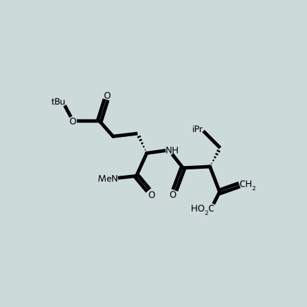 C=C(C(=O)O)[C@@H](CC(C)C)C(=O)N[C@@H](CCC(=O)OC(C)(C)C)C(=O)NC